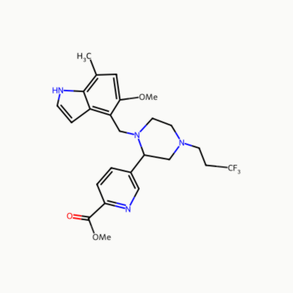 COC(=O)c1ccc(C2CN(CCC(F)(F)F)CCN2Cc2c(OC)cc(C)c3[nH]ccc23)cn1